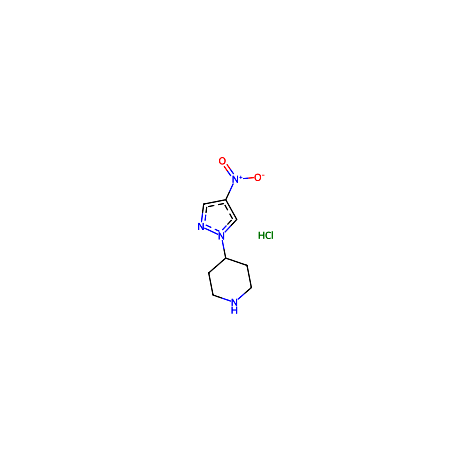 Cl.O=[N+]([O-])c1cnn(C2CCNCC2)c1